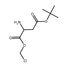 CC(C)(C)OC(=O)CC(N)C(=O)OCCl